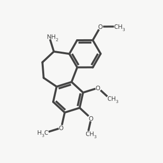 COc1ccc2c(c1)C(N)CCc1cc(OC)c(OC)c(OC)c1-2